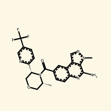 C[C@@H]1COC[C@H](c2ccc(C(F)(F)F)cn2)N1C(=O)c1ccc2nc(N)c3c(cnn3C)c2c1